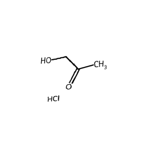 CC(=O)CO.Cl